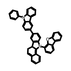 C1=c2ccccc2=C2C(C1)c1cc(-c3ccc4c(c3)c3ccccc3n4-c3ccccc3)ccc1N2c1cccc2c1oc1ccccc12